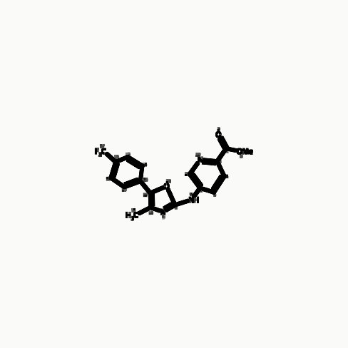 COC(=O)c1ccc(Nc2nc(C)c(-c3ccc(C(F)(F)F)cc3)o2)cn1